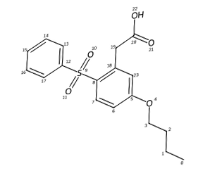 CCCCOc1ccc(S(=O)(=O)c2ccccc2)c(CC(=O)O)c1